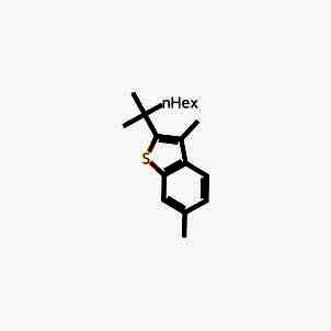 CCCCCCC(C)(C)c1sc2cc(C)ccc2c1C